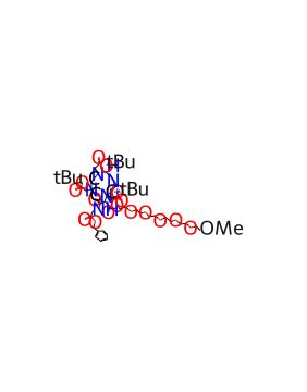 COCCOCCOCCOCCOCCOCCOC(=O)C(C(=O)NCC(=O)OCc1ccccc1)[N+]1(CC(=O)OC(C)(C)C)CCNCCN(CC(=O)OC(C)(C)C)CCN(CC(=O)OC(C)(C)C)CC1